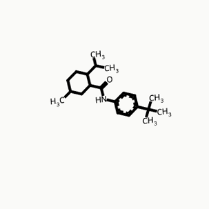 CC1CCC(C(C)C)C(C(=O)Nc2ccc(C(C)(C)C)cc2)C1